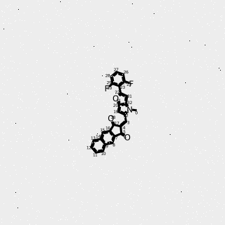 Cn1c(C=C2C(=O)c3cc4ccccc4cc3C2=O)cc2oc(-c3c(F)cccc3F)cc21